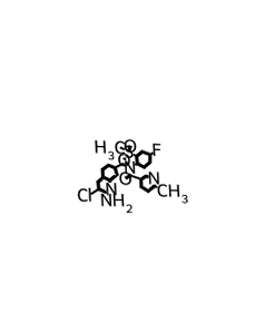 Cc1ccc(C(=O)N(Cc2ccc3cc(Cl)c(N)nc3c2)c2ccc(F)cc2S(C)(=O)=O)cn1